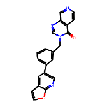 O=c1c2ccncc2ncn1Cc1cccc(-c2cnc3occc3c2)c1